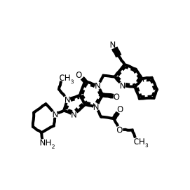 CCOC(=O)Cn1c(=O)n(Cc2nc3ccccc3cc2C#N)c(=O)c2c1nc(N1CCCC(N)C1)n2CC